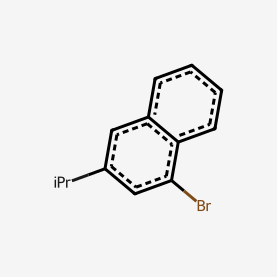 CC(C)c1cc(Br)c2ccccc2c1